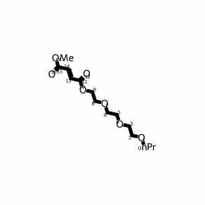 CCCOCCOCCOCCOC(=O)/C=C/C(=O)OC